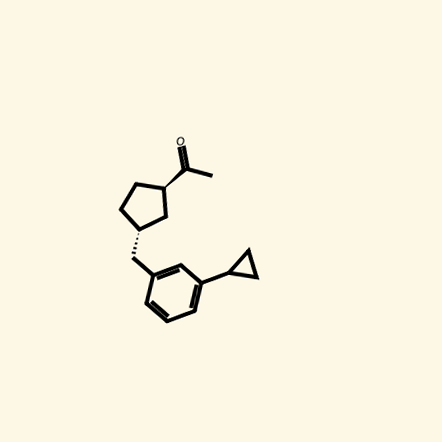 CC(=O)[C@@H]1CC[C@@H](Cc2cccc(C3CC3)c2)C1